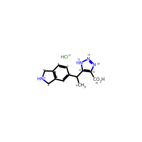 CC(c1ccc2c(c1)CNC2)c1[nH]nnc1C(=O)O.Cl